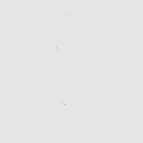 COc1ccccc1-c1ccc(CCC(=O)Nc2ccsc2C(=O)O)cn1